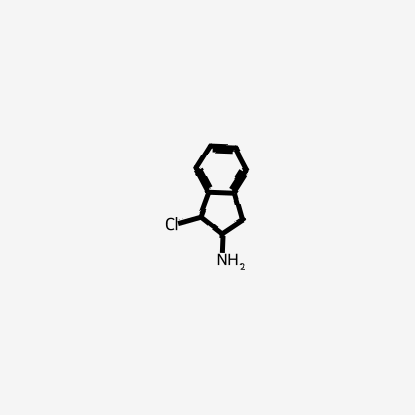 NC1Cc2ccccc2C1Cl